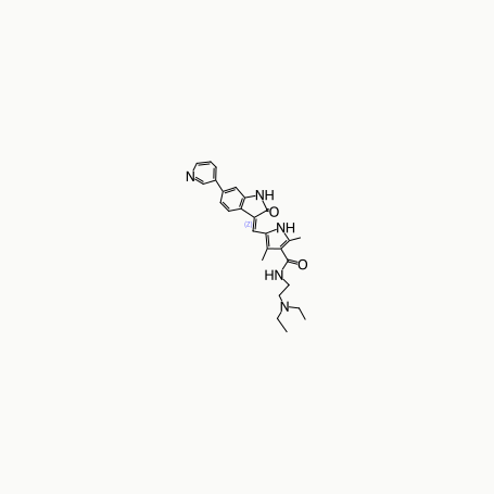 CCN(CC)CCNC(=O)c1c(C)[nH]c(/C=C2\C(=O)Nc3cc(-c4cccnc4)ccc32)c1C